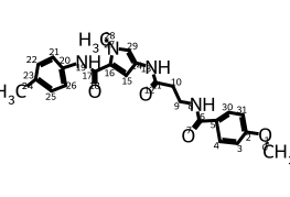 COc1ccc(C(=O)NCCC(=O)Nc2cc(C(=O)Nc3ccc(C)cc3)n(C)c2)cc1